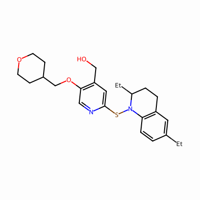 CCc1ccc2c(c1)CCC(CC)N2Sc1cc(CO)c(OCC2CCOCC2)cn1